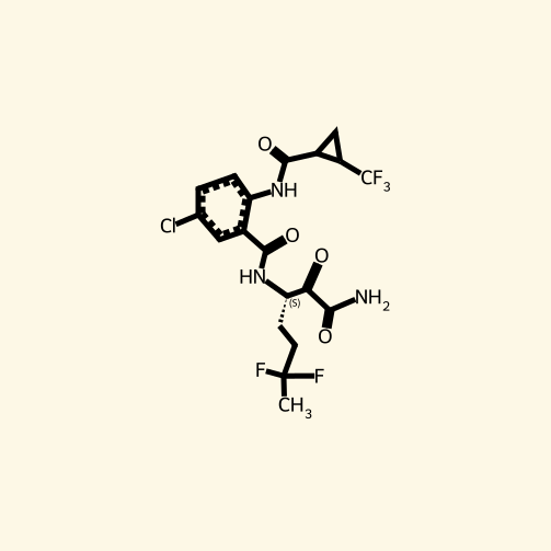 CC(F)(F)CC[C@H](NC(=O)c1cc(Cl)ccc1NC(=O)C1CC1C(F)(F)F)C(=O)C(N)=O